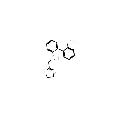 COc1ccccc1-c1ccccc1NCC1=NCCN1